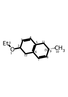 CCOC1C=CC2=C(C=C[C@@H](C)C2)C1